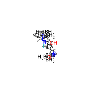 BC(B)(B)Oc1cc(-c2cc(O)c(-c3ccc(N([C@H]4C[C@]5(C)CC[C@](C)(C4)C5)C(B)(B)B)nn3)c(F)c2)cnn1